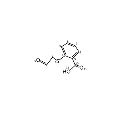 O=CCSc1ccccc1C(=O)O